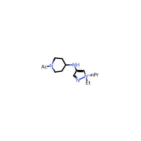 CCC[N+]1(CC)C=C(NC2CCN(C(C)=O)CC2)C=N1